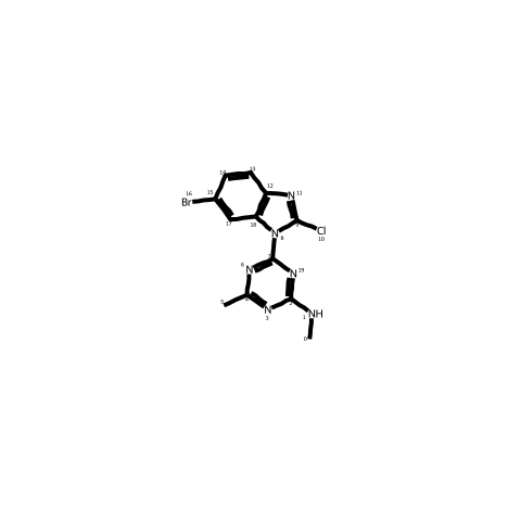 CNc1nc(C)nc(-n2c(Cl)nc3ccc(Br)cc32)n1